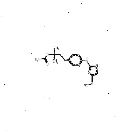 CC(C)(CCc1ccc(Nc2ncc(SC#N)s2)nc1)OC(N)=O